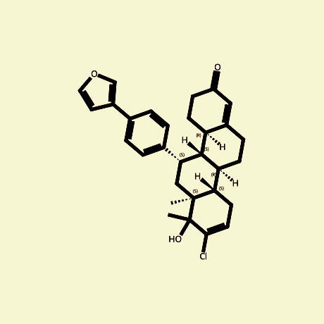 CC1(O)C(Cl)=CC[C@H]2[C@@H]3CCC4=CC(=O)CC[C@@H]4[C@H]3[C@@H](c3ccc(-c4ccoc4)cc3)C[C@@]21C